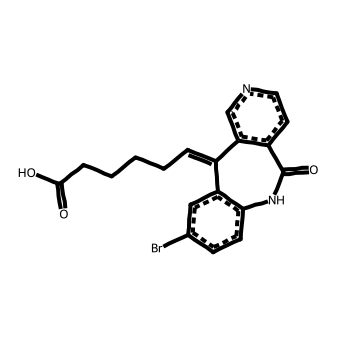 O=C(O)CCCC/C=C1\c2cc(Br)ccc2NC(=O)c2ccncc21